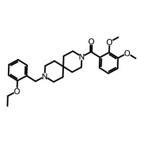 CCOc1ccccc1CN1CCC2(CC1)CCN(C(=O)c1cccc(OC)c1OC)CC2